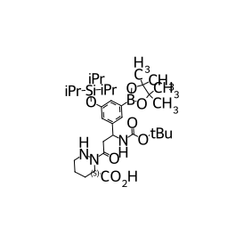 CC(C)[Si](Oc1cc(B2OC(C)(C)C(C)(C)O2)cc(C(CC(=O)N2NCCC[C@H]2C(=O)O)NC(=O)OC(C)(C)C)c1)(C(C)C)C(C)C